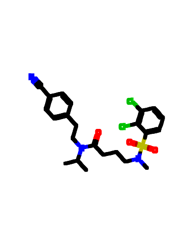 CC(C)N(CCc1ccc(C#N)cc1)C(=O)CCCN(C)S(=O)(=O)c1cccc(Cl)c1Cl